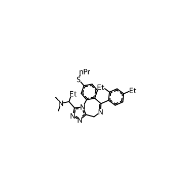 CCCSc1ccc2c(c1)-n1c(nnc1C(CC)N(C)C)CN=C2c1ccc(CC)cc1CC